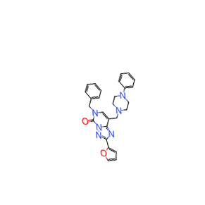 O=c1n(Cc2ccccc2)cc(CN2CCN(c3ccccc3)CC2)c2nc(-c3ccco3)nn12